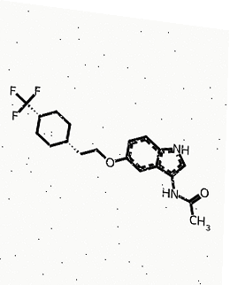 CC(=O)Nc1c[nH]c2ccc(OCC[C@H]3CC[C@@H](C(F)(F)F)CC3)cc12